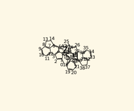 CC1=Cc2c(cc3c4c(cccc24)CC3)[C]12[SiH](c1ccccc1)[C]1(C(C)=Cc3c1cc1c4c(cccc34)CC1)[Zr]2([CH3])([CH3])[CH3]